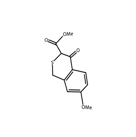 COC(=O)C1SCc2cc(OC)ccc2C1=O